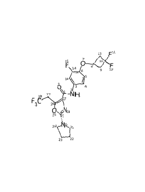 O=C(Nc1ccc(OC2CC(F)(F)C2)c(F)c1)c1nc(N2CCCC2)oc1CC(F)(F)F